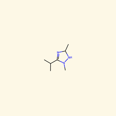 CC1N=C(C(C)C)N(C)N1